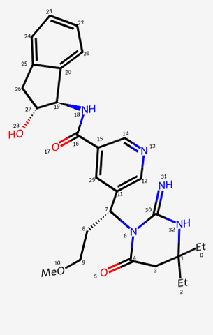 CCC1(CC)CC(=O)N([C@H](CCOC)c2cncc(C(=O)N[C@@H]3c4ccccc4C[C@H]3O)c2)C(=N)N1